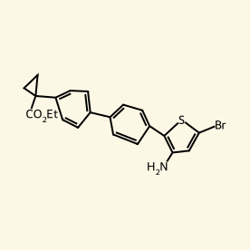 CCOC(=O)C1(c2ccc(-c3ccc(-c4sc(Br)cc4N)cc3)cc2)CC1